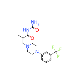 CC(CN1CCN(c2cccc(C(F)(F)F)c2)CC1)C(=O)NC(N)=O